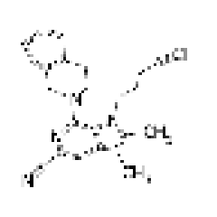 C#CCCCn1c(C)c(C)c2cc(C#N)nc(N3CCc4ccccc4C3)c21